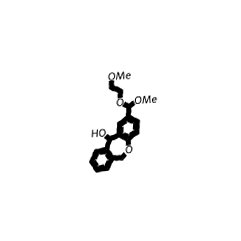 COCCOC(OC)c1ccc2c(c1)C(O)c1ccccc1CO2